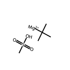 CS(=O)(=O)O.C[C](C)(C)[Mg+2]